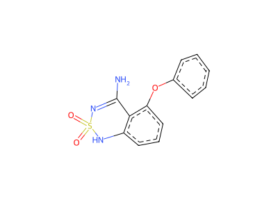 NC1=NS(=O)(=O)Nc2cccc(Oc3ccccc3)c21